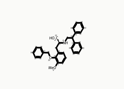 COc1cccc(C[C@H](NCC(c2ccccc2)c2ccccc2)C(=O)O)c1OCc1ccccc1